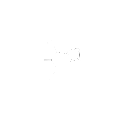 CCCCOC(=O)C(SC)c1cccs1